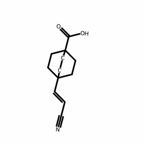 N#C/C=C/C12CCC(C(=O)O)(CC1)CC2